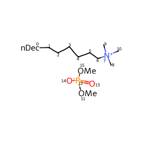 CCCCCCCCCCCCCCCC[N+](C)(C)C.COP(=O)([O-])OC